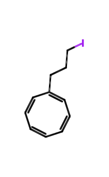 ICCCC1=CC=CC=CC=C1